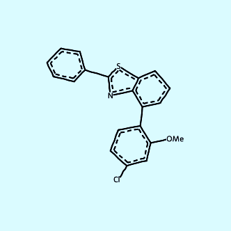 COc1cc(Cl)ccc1-c1cccc2sc(-c3ccccc3)nc12